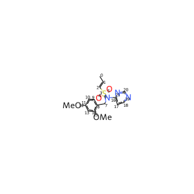 C/C=C/S(=O)(=O)N(Cc1ccc(OC)cc1OC)c1ccncn1